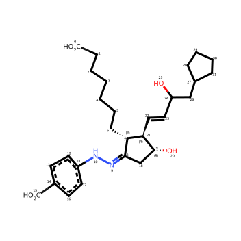 O=C(O)CCCCCC[C@H]1C(=NNc2ccc(C(=O)O)cc2)C[C@@H](O)[C@@H]1C=CC(O)CC1CCCC1